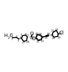 C=CCC[C@H]1CC[C@H](C(=O)Oc2ccc(C#C[C@H]3CC[C@H](Cl)CC3)cc2)CC1